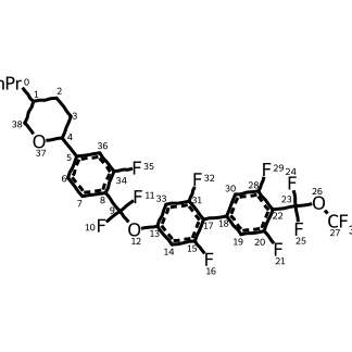 CCCC1CCC(c2ccc(C(F)(F)Oc3cc(F)c(-c4cc(F)c(C(F)(F)OC(F)(F)F)c(F)c4)c(F)c3)c(F)c2)OC1